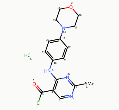 CSc1ncc(C(=O)Cl)c(Nc2ccc(N3CCOCC3)cc2)n1.Cl